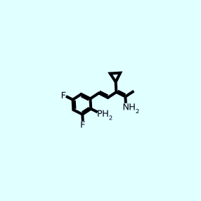 C/C(N)=C(/C=C/c1cc(F)cc(F)c1P)C1CC1